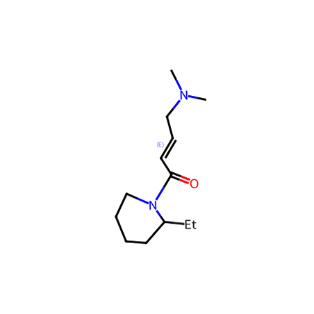 CCC1CCCCN1C(=O)/C=C/CN(C)C